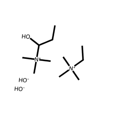 CCC(O)[N+](C)(C)C.CC[N+](C)(C)C.[OH-].[OH-]